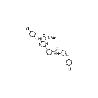 CNC(=O)c1nc(-c2cccc(C(=O)NC3CCN(Cc4ccc(Cl)cc4)C3)c2)cnc1NCc1ccc(Cl)cc1